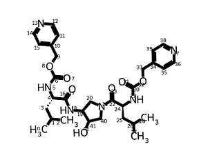 CC(C)C[C@H](NC(=O)OCc1ccncc1)C(=O)NC1CN(C(=O)[C@H](CC(C)C)NC(=O)OCc2ccncc2)CC1O